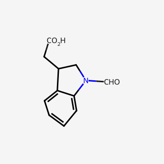 O=CN1CC(CC(=O)O)c2ccccc21